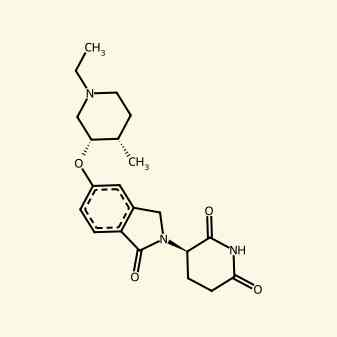 CCN1CC[C@H](C)[C@H](Oc2ccc3c(c2)CN([C@@H]2CCC(=O)NC2=O)C3=O)C1